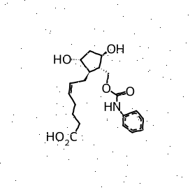 O=C(O)CCC/C=C\C[C@@H]1[C@@H](COC(=O)Nc2ccccc2)[C@H](O)C[C@H]1O